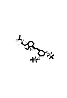 CC(=O)O[C@@H](C)[C@H]1CC[C@H]2/C(=C/C=C3C[C@@H](O[Si](C)(C)C(C)(C)C)C[C@H](O[Si](C)(C)C(C)(C)C)C3)CCC[C@]12C